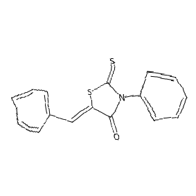 O=C1/C(=C/c2ccccc2)SC(=S)N1c1ccccc1